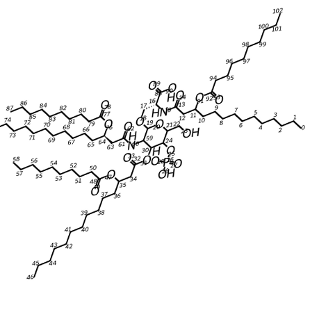 CCCCCCCCCCCC(CC(=O)N[C@H](COC1OC(CO)C(OP(=O)(O)O)C(OC(=O)CC(CCCCCCCCCCC)OC(=O)CCCCCCCCC)C1NC(=O)C[C@@H](CCCCCCCCCCC)OC(=O)CCCCCCCCC)C(=O)O)OC(=O)CCCCCCCCC